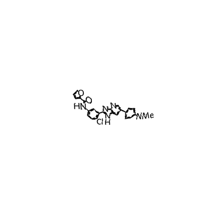 CNc1ccc(-c2cnc3nc(-c4cc(NC(=O)c5ccco5)ccc4Cl)[nH]c3c2)cc1